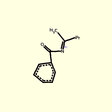 C/C(=N\C(=O)c1ccccc1)C(C)C